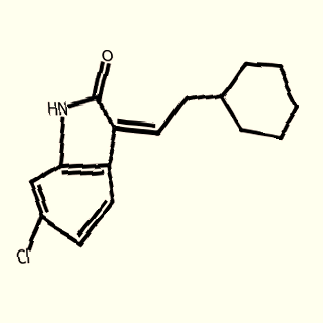 O=C1Nc2cc(Cl)ccc2C1=CCC1CCCCC1